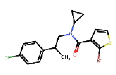 CC(CN(C(=O)c1ccsc1Br)C1CC1)c1ccc(Cl)cc1